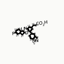 Cn1ncc2cc(-c3cc(CCC(=O)O)cc(N)c3OC3Cc4ccc(F)cc4C3)ccc21